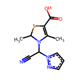 CC1=C(C(=O)O)SC(C)N1C(C#N)n1cccn1